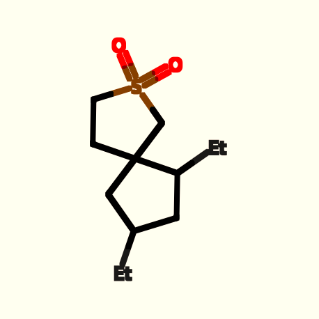 CCC1CC(CC)C2(CCS(=O)(=O)C2)C1